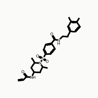 C=CC(=O)NC1CC(C)N(S(=O)(=O)c2ccc(C(=O)NCCc3ccc(C)c(C)c3)cc2)C(C)C1